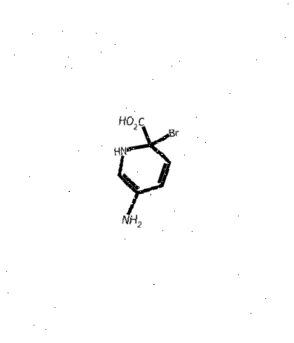 NC1=CNC(Br)(C(=O)O)C=C1